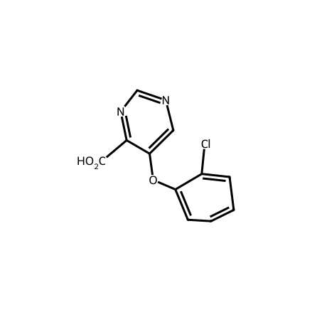 O=C(O)c1ncncc1Oc1ccccc1Cl